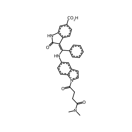 CN(C)C(=O)CCC(=O)n1ccc2cc(NC(=C3C(=O)Nc4cc(C(=O)O)ccc43)c3ccccc3)ccc21